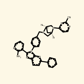 N#Cc1nccc(N2C[C@H]3C[C@@H]2CN3Cc2ccc(-n3c(-c4cccnc4N)nc4ccc(-c5ccccc5)nc43)cc2)n1